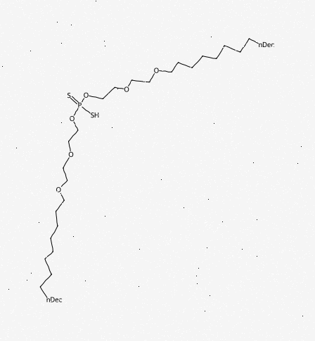 CCCCCCCCCCCCCCCCCCOCCOCCOP(=S)(S)OCCOCCOCCCCCCCCCCCCCCCCCC